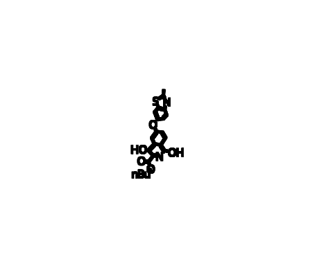 CCCCOC(=O)c1nc(O)c2ccc(Oc3ccc4nc(C)sc4c3)cc2c1O